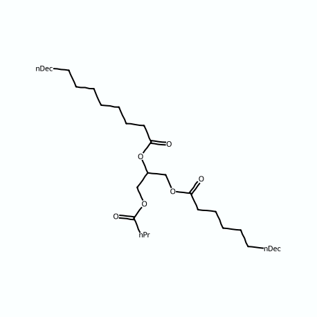 CCCCCCCCCCCCCCCCCC(=O)OC(COC(=O)CCC)COC(=O)CCCCCCCCCCCCCCC